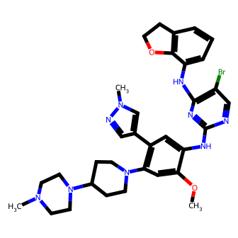 COc1cc(N2CCC(N3CCN(C)CC3)CC2)c(-c2cnn(C)c2)cc1Nc1ncc(Br)c(Nc2cccc3c2OCC3)n1